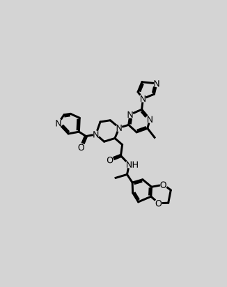 Cc1cc(N2CCN(C(=O)c3cccnc3)CC2CC(=O)NC(C)c2ccc3c(c2)OCCO3)nc(-n2ccnc2)n1